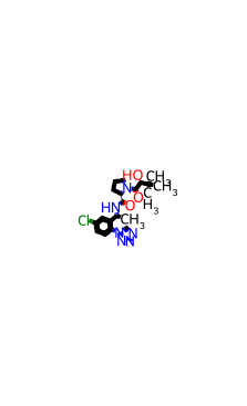 CC(NC(=O)[C@@H]1CCCN1C(=O)[C@H](O)C(C)(C)C)c1cc(Cl)ccc1-n1cnnn1